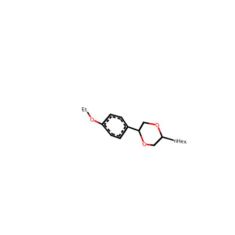 CCCCCCC1COC(c2ccc(OCC)cc2)CO1